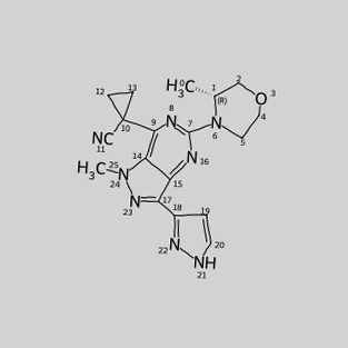 C[C@@H]1COCCN1c1nc(C2(C#N)CC2)c2c(n1)c(-c1cc[nH]n1)nn2C